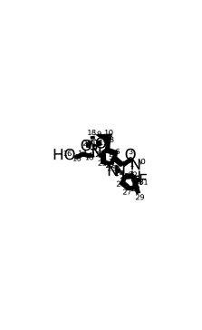 CNC(=O)c1c2cc(C3CC3)c(N(CCCO)S(C)(=O)=O)cc2nn1-c1ccc(C)c(F)c1